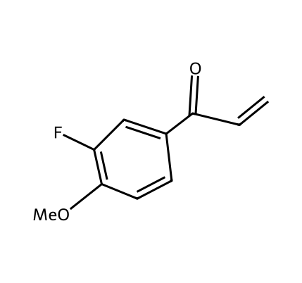 C=CC(=O)c1ccc(OC)c(F)c1